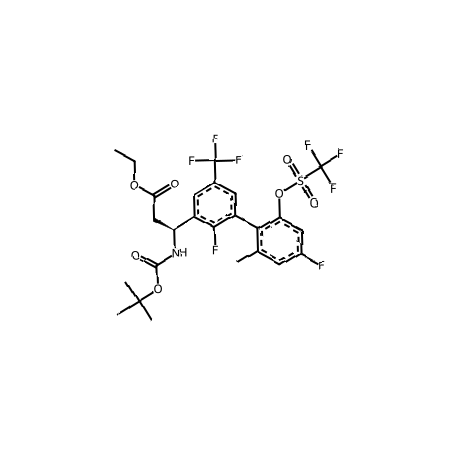 CCOC(=O)C[C@H](NC(=O)OC(C)(C)C)c1cc(C(F)(F)F)cc(-c2c(C)cc(F)cc2OS(=O)(=O)C(F)(F)F)c1F